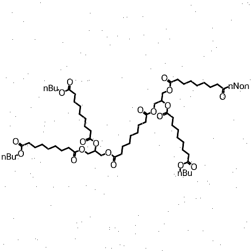 CCCCCCCCCC(=O)CCCCCCCC(=O)OCC(COC(=O)CCCCCCCC(=O)OCC(COC(=O)CCCCCCCC(=O)OCCCC)OC(=O)CCCCCCCC(=O)OCCCC)OC(=O)CCCCCCCC(=O)OCCCC